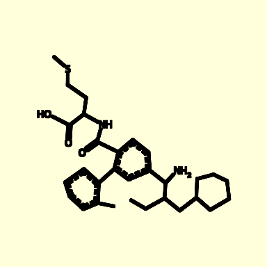 CCC(CC1CCCCC1)C(N)c1ccc(C(=O)NC(CCSC)C(=O)O)c(-c2ccccc2C)c1